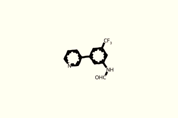 O=CNc1cc(-c2cccnc2)cc(C(F)(F)F)c1